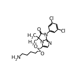 CC1(C)C(=O)N(c2cc(Cl)cc(Cl)c2)c2ncc(S(=O)(=O)CCCCN)n21